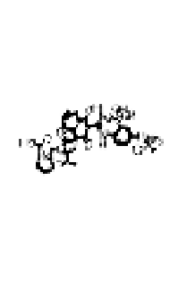 CC(C)CC[C@@]1(C(=O)OC[C@@]2(C)CCCN2C(=O)O)C(=O)C(C2=NS(O)(O)c3cc(NS(C)(=O)=O)ccc3N2)=C(O)c2ccccc21